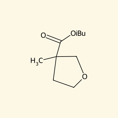 CC(C)COC(=O)C1(C)CCOC1